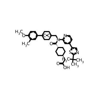 COc1ccc(C23CCC(CN(c4cc(-c5cnc(C(C)(C)C)s5)ccn4)C(=O)[C@H]4CC[C@H](CC(=O)O)CC4)(CC2)CC3)cc1C